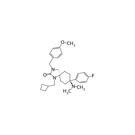 COc1ccc(CN2C[C@]3(CC[C@](c4ccc(F)cc4)(N(C)C)CC3)N(CC3CCC3)C2=O)cc1